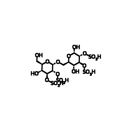 O=S(=O)(O)O[C@@H]1[C@@H](OS(=O)(=O)O)[C@H](O)[C@@H](CO[C@H]2O[C@H](CO)[C@@H](O)[C@H](OS(=O)(=O)O)[C@H]2OS(=O)(=O)O)O[C@@H]1O